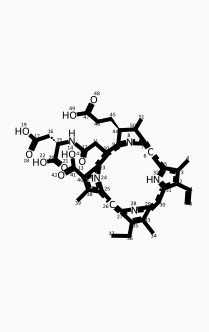 C=Cc1c(C)c2cc3nc(c(CC(=O)N[C@@H](CC(=O)O)C(=O)O)c4[nH]c(cc5nc(cc1[nH]2)C(C)=C5CC)c(C)c4C(=O)O)[C@@H](CCC(=O)O)C3C